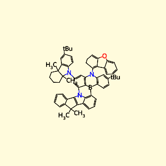 CC(C)(C)c1ccc2c(c1)N(C1=c3c(oc4ccccc34)=CCC1)c1cc(N3c4ccc(C(C)(C)C)cc4C4(C)CCCCC34C)cc3c1B2c1cccc2c4c(n-3c12)-c1ccccc1C4(C)C